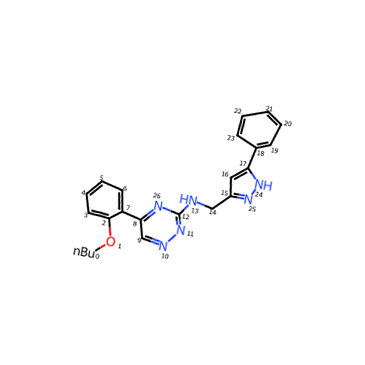 CCCCOc1ccccc1-c1cnnc(NCc2cc(-c3ccccc3)[nH]n2)n1